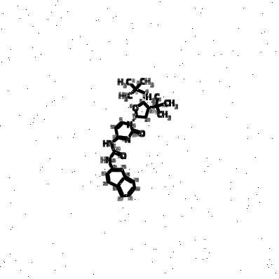 CC(C)(C)C[C@H]1O[C@@H](n2ccc(NC(=O)Nc3ccc4ccccc4c3)nc2=O)CC1C(C)(C)C